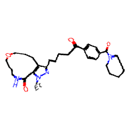 CCn1nc(CCCCC(=O)c2ccc(C(=O)N3CCCCC3)cc2)c2c1C(=O)NCCCOCCC2